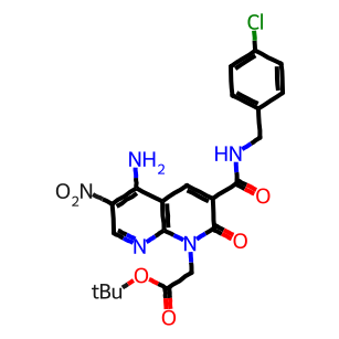 CC(C)(C)OC(=O)Cn1c(=O)c(C(=O)NCc2ccc(Cl)cc2)cc2c(N)c([N+](=O)[O-])cnc21